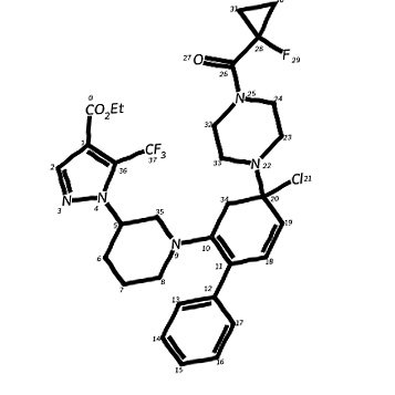 CCOC(=O)c1cnn(C2CCCN(C3=C(c4ccccc4)C=CC(Cl)(N4CCN(C(=O)C5(F)CC5)CC4)C3)C2)c1C(F)(F)F